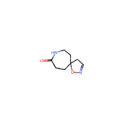 O=C1CCC2(CC=NO2)CCN1